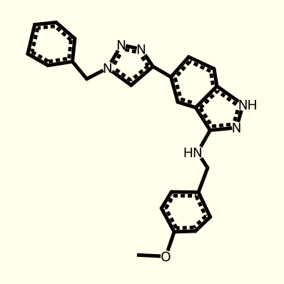 COc1ccc(CNc2n[nH]c3ccc(-c4cn(Cc5ccccc5)nn4)cc23)cc1